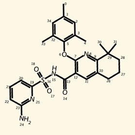 Cc1cc(C)c(Oc2nc3c(cc2C(=O)NS(=O)(=O)c2cccc(N)n2)CCCC3(C)C)c(C)c1